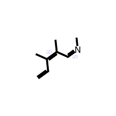 C=C/C(C)=C(C)\C=N/C